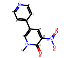 Cn1cc(-c2ccncc2)cc([N+](=O)[O-])c1=O